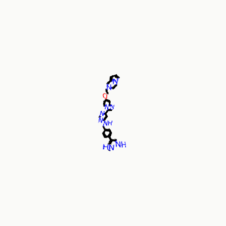 CN/C=C(\C=N)c1ccc(CNc2cc(-c3cnc4cc(OCCN5CCn6cccc6C5)ccn34)ncn2)cc1